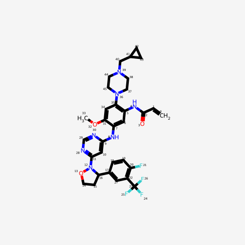 C=CC(=O)Nc1cc(Nc2cc(N3OCCC3c3ccc(F)c(C(F)(F)F)c3)ncn2)c(OC)cc1N1CCN(CC2CC2)CC1